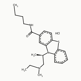 CCCCNC(=O)c1ccc2c(c1)N([C@H](C)CN(C)CC)c1ccccc1S2.Cl